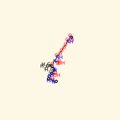 CCC1C2CC3(Cn4ncc(-c5ccc(N6CCc7cccc(C(=O)Nc8nc9ccccc9s8)c7C6)nc5C(=O)O)c4C)CC(OCCN(CCCNC(=O)CCOCCOCCOCCOCCNC(=O)CCN4C(=O)C=CC4=O)CCS(=O)(=O)O)(C2)CC1(C)C3